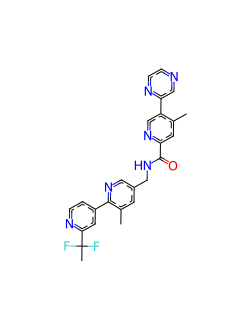 Cc1cc(C(=O)NCc2cnc(-c3ccnc(C(C)(F)F)c3)c(C)c2)ncc1-c1cnccn1